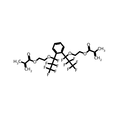 C=C(C)C(=O)OCCOC(F)(c1ccccc1C(F)(OCCOC(=O)C(=C)C)C(F)(F)C(F)(F)F)C(F)(F)C(F)(F)F